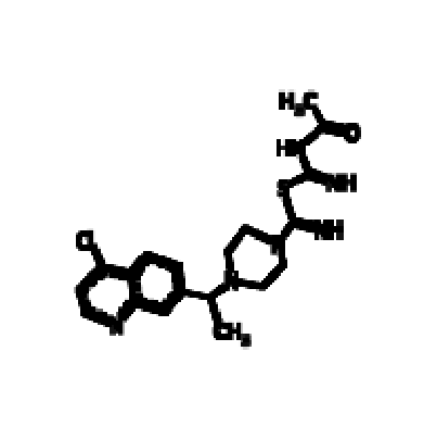 CC(=O)NC(=N)SC(=N)N1CCN(C(C)c2ccc3c(Cl)ccnc3c2)CC1